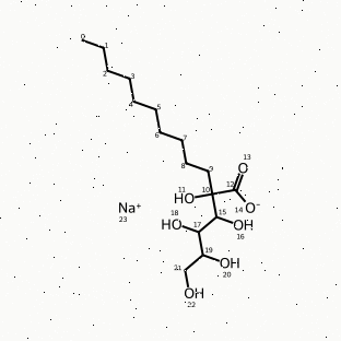 CCCCCCCCCCC(O)(C(=O)[O-])C(O)C(O)C(O)CO.[Na+]